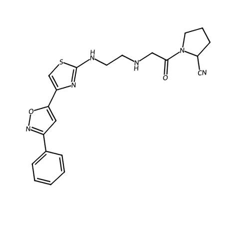 N#CC1CCCN1C(=O)CNCCNc1nc(-c2cc(-c3ccccc3)no2)cs1